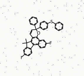 CC1(C)c2cc(I)ccc2-c2c1c1c(c3cc(F)ccc23)OC(c2ccccc2)(c2ccc(Sc3ccccc3)cc2)C=C1